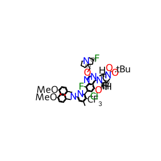 COc1ccc(CN(Cc2ccc(OC)cc2)c2cc(C)c(C(F)(F)F)c(-c3c(Cl)c4c5c(nc(OC[C@@]67CCCN6C[C@H](F)C7)nc5c3F)N3C[C@H]5CC[C@H](CN5C(=O)OC(C)(C)C)[C@H]3[C@H](C)O4)n2)cc1